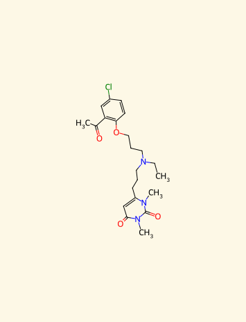 CCN(CCCOc1ccc(Cl)cc1C(C)=O)CCCc1cc(=O)n(C)c(=O)n1C